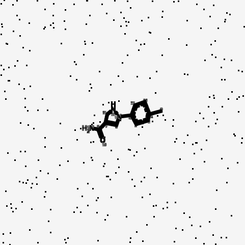 Cc1ccc(N2C=C(C(N)=O)CN2)cc1